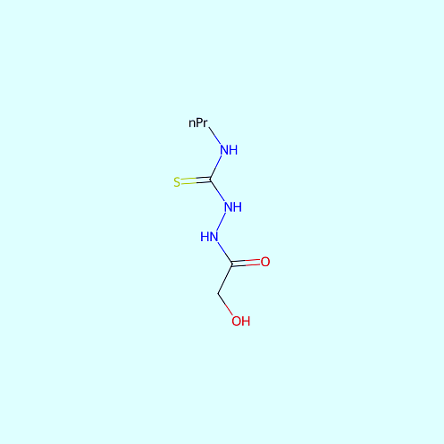 CCCNC(=S)NNC(=O)CO